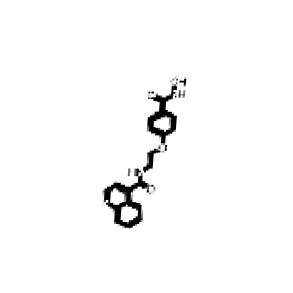 O=C(NO)c1ccc(OCCNC(=O)c2ccnc3ccccc23)cc1